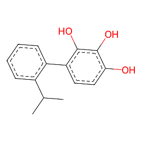 CC(C)c1ccccc1-c1ccc(O)c(O)c1O